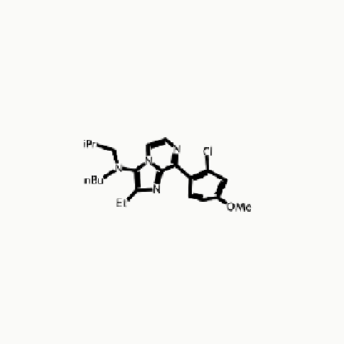 CCCCN(CC(C)C)c1c(CC)nc2c(-c3ccc(OC)cc3Cl)nccn12